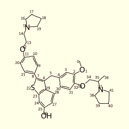 COc1cc(Cc2c(-c3ccc(OCCN4CCCC4)cc3)sc3cc(O)ccc23)ccc1OCC(C)N1CCCC1